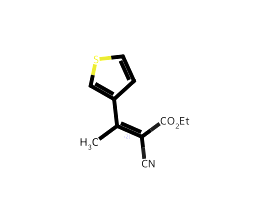 CCOC(=O)/C(C#N)=C(/C)c1ccsc1